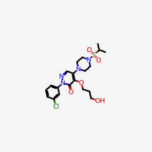 CC(C)S(=O)(=O)N1CCN(c2cnn(-c3cccc(Cl)c3)c(=O)c2OCCCO)CC1